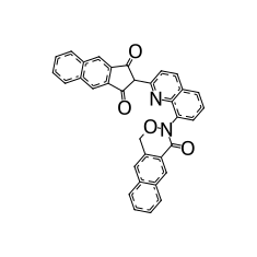 O=C1c2cc3ccccc3cc2C(=O)C1c1ccc2cccc(N3OCc4cc5ccccc5cc4C3=O)c2n1